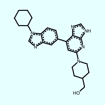 OCC1CCN(c2cc(-c3ccc4c(c3)ncn4C3CCCCC3)c3nc[nH]c3n2)CC1